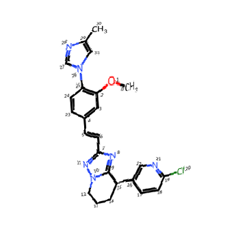 COc1cc(/C=C/c2nc3n(n2)CCC[C@@H]3c2ccc(Cl)nc2)ccc1-n1cnc(C)c1